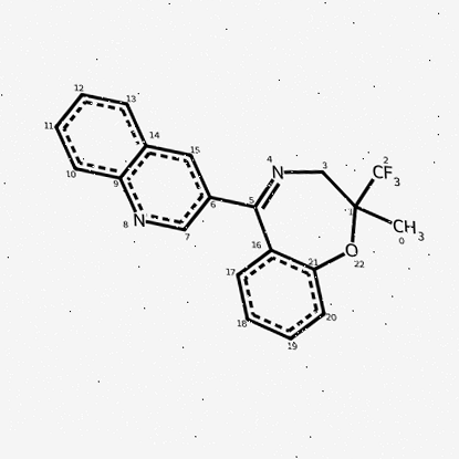 CC1(C(F)(F)F)CN=C(c2cnc3ccccc3c2)c2ccccc2O1